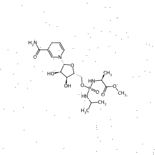 COC(=O)[C@H](C)NP(=O)(NC(C)C)OC[C@H]1O[C@@H](N2C=CCC(C(N)=O)=C2)[C@H](O)[C@@H]1O